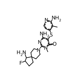 Cc1c(Sc2c(N)nc(N3CCC4(CCC(F)C4N)CC3)n(C)c2=O)ccnc1N